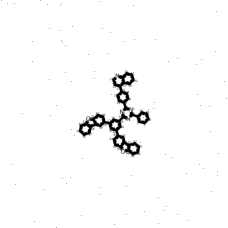 c1ccc(-c2nc(-c3ccc(-c4ccnc5ccccc45)cc3)nc(-c3cc(-c4ccc5oc6ccccc6c5c4)cc(-c4ccc5oc6ccccc6c5c4)c3)n2)cc1